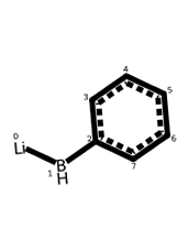 [Li][BH]c1ccccc1